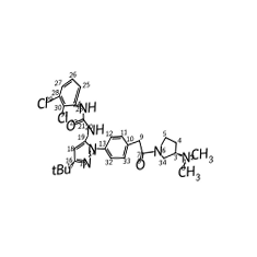 CN(C)[C@@H]1CCN(C(=O)Cc2ccc(-n3nc(C(C)(C)C)cc3NC(=O)Nc3cccc(Cl)c3Cl)cc2)C1